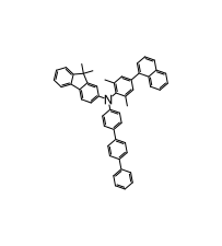 Cc1cc(-c2cccc3ccccc23)cc(C)c1N(c1ccc(-c2ccc(-c3ccccc3)cc2)cc1)c1ccc2c(c1)C(C)(C)c1ccccc1-2